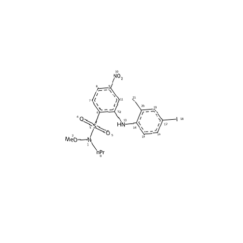 CCCN(OC)S(=O)(=O)c1ccc([N+](=O)[O-])cc1Nc1ccc(I)cc1C